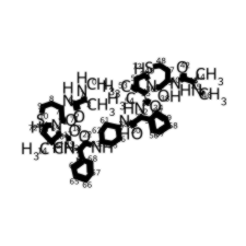 CN[C@@H](C)C(=O)N[C@H]1CCS[C@H]2CC(C)(C)[C@@H](C(=O)N[C@H](C(=O)N[C@H]3CC[C@H](NC(=O)[C@H](NC(=O)[C@H]4N5C(=O)[C@@H](NC(=O)[C@H](C)NC)CCS[C@H]5CC4(C)C)c4ccccc4)CC3)c3ccccc3)N2C1=O